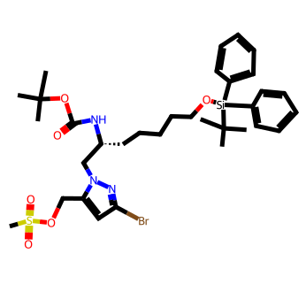 CC(C)(C)OC(=O)N[C@H](CCCCCO[Si](c1ccccc1)(c1ccccc1)C(C)(C)C)Cn1nc(Br)cc1COS(C)(=O)=O